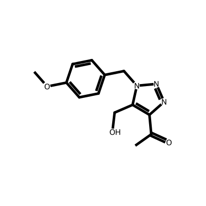 COc1ccc(Cn2nnc(C(C)=O)c2CO)cc1